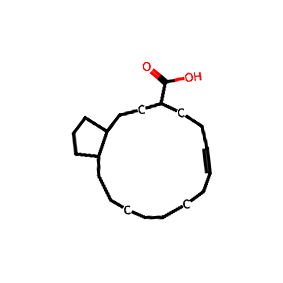 O=C(O)C1CCC=CCCCCCCCC2CCCC2CC1